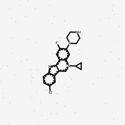 Fc1cc2c3nc4ccc(Cl)cc4c-3cn(C3CC3)c2cc1N1CCNCC1